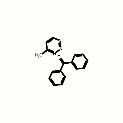 Cc1ccnnn1.O=C(c1ccccc1)c1ccccc1